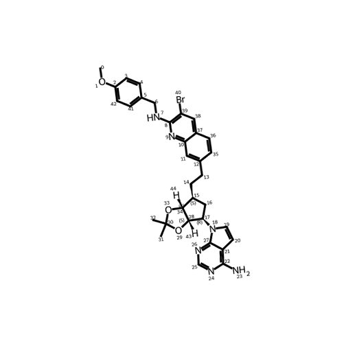 COc1ccc(CNc2nc3cc(CC[C@H]4C[C@@H](n5ccc6c(N)ncnc65)[C@@H]5OC(C)(C)O[C@H]45)ccc3cc2Br)cc1